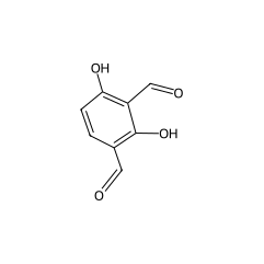 O=Cc1ccc(O)c(C=O)c1O